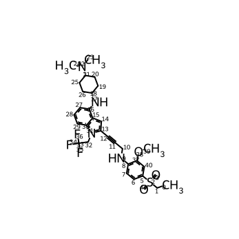 CCS(=O)(=O)c1ccc(NCC#Cc2cc3c(N[C@H]4CC[C@@H](N(C)C)CC4)cccc3n2CC(F)(F)F)c(OC)c1